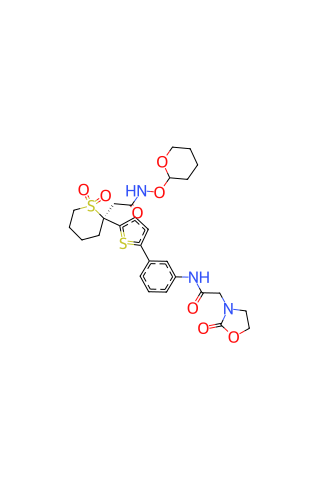 O=C(C[C@]1(c2ccc(-c3cccc(NC(=O)CN4CCOC4=O)c3)s2)CCCCS1(=O)=O)NOC1CCCCO1